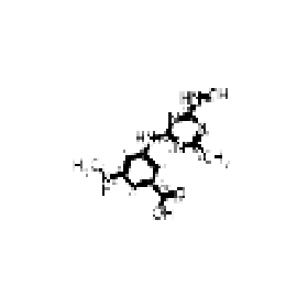 CNc1cc(Nc2nc(C)nc(NC)n2)cc(C(=O)O)c1